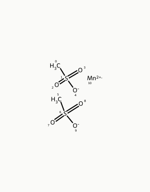 CS(=O)(=O)[O-].CS(=O)(=O)[O-].[Mn+2]